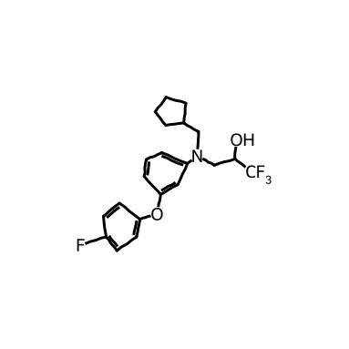 OC(CN(CC1CCCC1)c1cccc(Oc2ccc(F)cc2)c1)C(F)(F)F